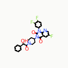 O=C([C@H](O)c1ccccc1)N1CCC(n2c(=O)c3cc(F)cnc3n(-c3ccc(F)c(F)c3)c2=O)CC1